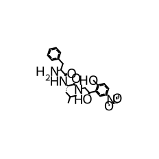 CC(C)C[C@H](NC(=O)[C@@H](N)Cc1ccccc1)C(=O)NCC(=O)c1cc([N+](=O)[O-])ccc1O